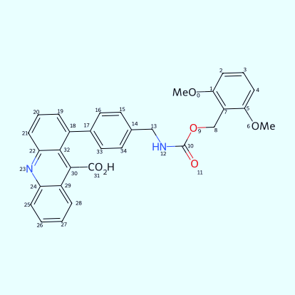 COc1cccc(OC)c1COC(=O)NCc1ccc(-c2cccc3nc4ccccc4c(C(=O)O)c23)cc1